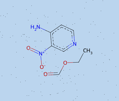 CCOC=O.Nc1ccncc1[N+](=O)[O-]